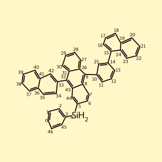 c1ccc([SiH2]c2ccc3c(-c4cccc(-c5cccc6ccccc56)c4)c4ccccc4c(-c4ccc5ccccc5c4)c3c2)cc1